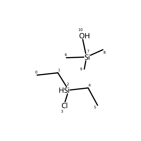 CC[SiH](Cl)CC.C[Si](C)(C)O